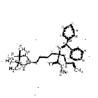 C=CCCC(CCCCB1OC(C)(C)C(C)(C)O1)(N=C(c1ccccc1)c1ccccc1)C(=O)OCCCC